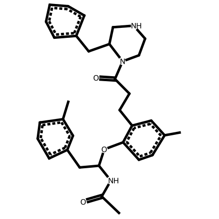 CC(=O)NC(Cc1cccc(C)c1)Oc1ccc(C)cc1CCC(=O)N1CCNCC1Cc1ccccc1